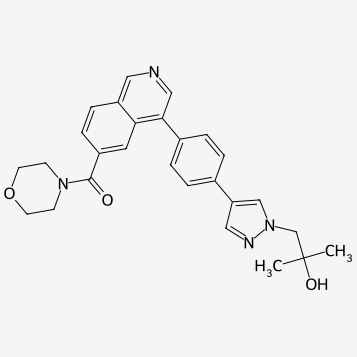 CC(C)(O)Cn1cc(-c2ccc(-c3cncc4ccc(C(=O)N5CCOCC5)cc34)cc2)cn1